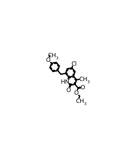 CCOC(=O)c1c(C)c2cc(Cl)cc(Cc3ccc(OC)cc3)c2[nH]c1=O